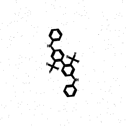 FC(F)(F)c1cc(Nc2ccccc2)ccc1-c1ccc(Nc2ccccc2)cc1C(F)(F)F